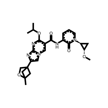 CO[C@H]1C[C@@H]1n1cccc(NC(=O)c2cn3cc(C45COC(C)(C4)C5)nc3nc2OC(C)C)c1=O